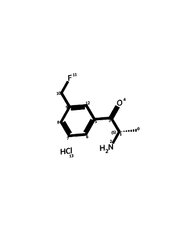 C[C@H](N)C(=O)c1cccc(CF)c1.Cl